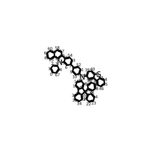 c1ccc(-n2c3cc(-c4ccc(N(c5ccc6c(c5)C(c5ccccc5)(c5ccccc5)c5ccccc5-6)c5ccc6sc7ccccc7c6c5)cc4)ccc3c3ccc4ccccc4c32)cc1